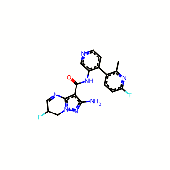 Cc1nc(F)ccc1-c1ccncc1NC(=O)c1c(N)nn2c1N=CC(F)C2